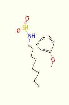 CCCCCCCCN[SH](=O)=O.COc1ccccc1